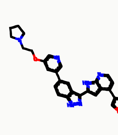 c1cc(-c2ccoc2)c2cc(-c3n[nH]c4ccc(-c5cncc(OCCN6CCCC6)c5)cc34)[nH]c2n1